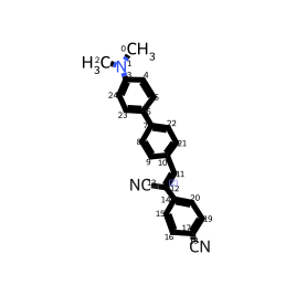 CN(C)c1ccc(-c2ccc(/C=C(\C#N)c3ccc(C#N)cc3)cc2)cc1